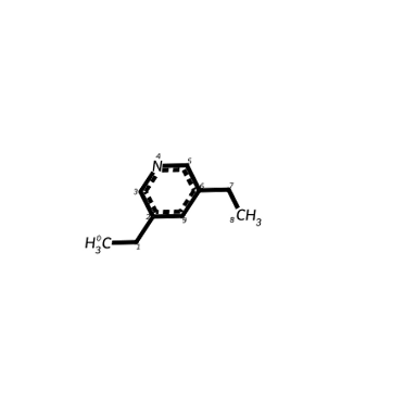 CCc1cncc(CC)c1